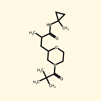 CC(CC1CN(C(=O)C(C)(C)C)CCO1)C(=O)NC1(C)CC1